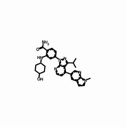 CC(C)c1nn(-c2ccc(C(N)=O)c(NC3CCC(O)CC3)c2)c2nccc(-c3cnc4c(ccn4C)c3)c12